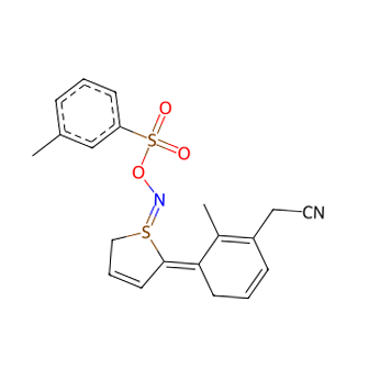 CC1=C(CC#N)C=CCC1=C1C=CCS1=NOS(=O)(=O)c1cccc(C)c1